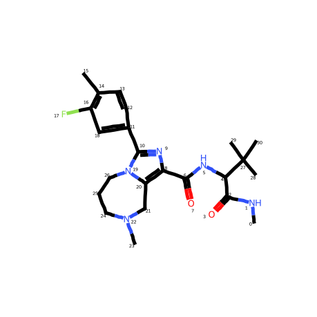 CNC(=O)C(NC(=O)c1nc(-c2ccc(C)c(F)c2)n2c1CN(C)CCC2)C(C)(C)C